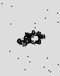 CC[C@H]1OC(=O)[C@H](C)C(=O)[C@H](C)C(O[C@@H]2O[C@H](C)C[C@H](N(C)C)[C@H]2O)[C@](C)(OCC(C)CNCc2ccccn2)C[C@@H](C)NC(=O)[C@H](C)[C@@H](O)[C@]1(C)O